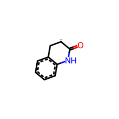 O=C1[C]Cc2ccccc2N1